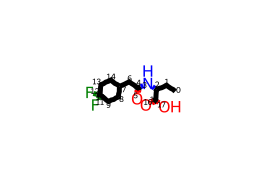 CCC(NC(=O)CC1CCC(F)(F)CC1)C(=O)O